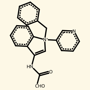 O=CC(=O)NC1=C[N+](Cc2ccccc2)(c2cccnc2)c2ccccc21